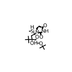 C[SiH](C)[C@]1(n2ccc(=O)[nH]c2=O)C[C@@](O)(C(C)(C)C)[C@@H](COC(C)(C)C)O1